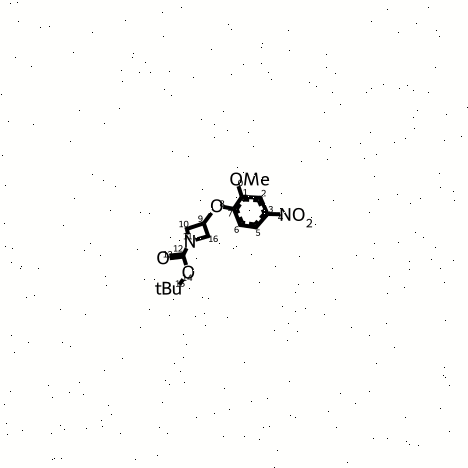 COc1cc([N+](=O)[O-])ccc1OC1CN(C(=O)OC(C)(C)C)C1